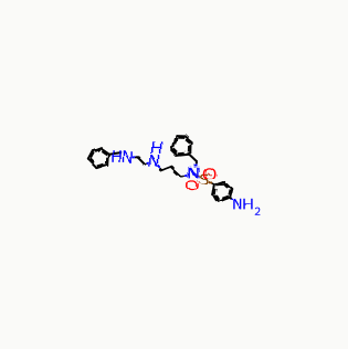 Nc1ccc(S(=O)(=O)N(CCCNCCNCc2ccccc2)Cc2ccccc2)cc1